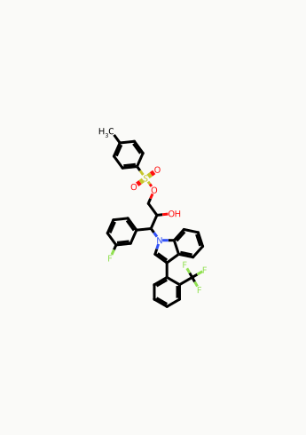 Cc1ccc(S(=O)(=O)OCC(O)C(c2cccc(F)c2)n2cc(-c3ccccc3C(F)(F)F)c3ccccc32)cc1